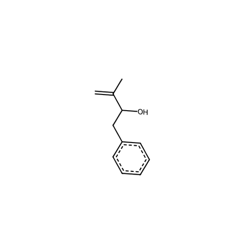 C=C(C)C(O)Cc1ccccc1